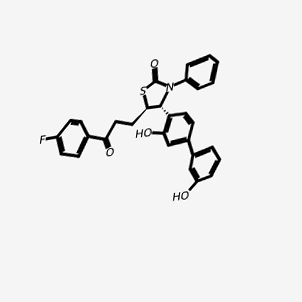 O=C(CC[C@H]1SC(=O)N(c2ccccc2)[C@@H]1c1ccc(-c2cccc(O)c2)cc1O)c1ccc(F)cc1